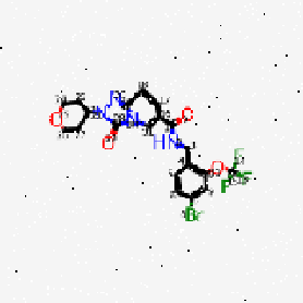 O=C(NCc1ccc(Br)cc1OC(F)(F)F)c1ccc2nn(C3CCOCC3)c(=O)n2c1